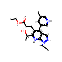 CCOC(=O)CCc1c(C(C)O)nc2c(cnn2CC)c1-c1cncc(C)c1